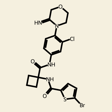 N=C1COCCN1c1ccc(NC(=O)C2(NC(=O)c3ccc(Br)s3)CCC2)cc1Cl